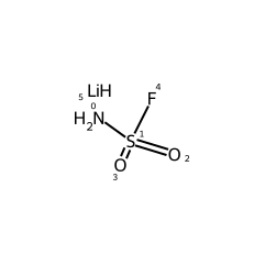 NS(=O)(=O)F.[LiH]